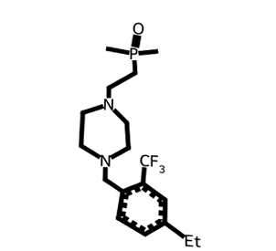 CCc1ccc(CN2CCN(CCP(C)(C)=O)CC2)c(C(F)(F)F)c1